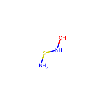 NSNO